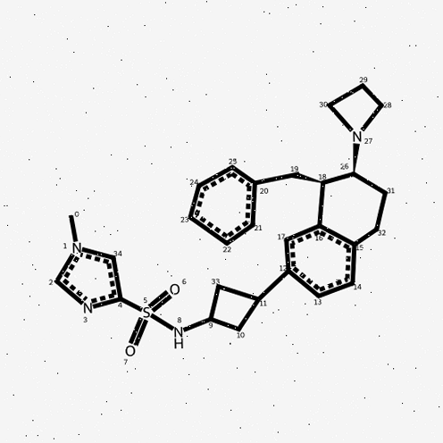 Cn1cnc(S(=O)(=O)NC2CC(c3ccc4c(c3)[C@@H](Cc3ccccc3)[C@@H](N3CCC3)CC4)C2)c1